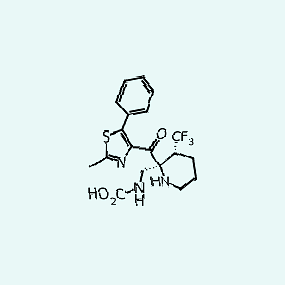 Cc1nc(C(=O)[C@]2(CNC(=O)O)NCCC[C@H]2C(F)(F)F)c(-c2ccccc2)s1